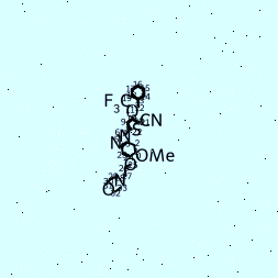 COC1Cc2c(ncn2-c2cc(OCc3ccccc3C(F)(F)F)c(C#N)s2)C=C1OCCN1CCOCC1